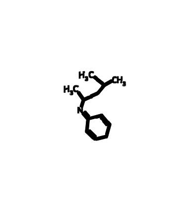 CC(C)CC(C)N=C1C=CCC=C1